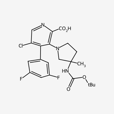 CC1(NC(=O)OC(C)(C)C)CCN(c2c(C(=O)O)ncc(Cl)c2-c2cc(F)cc(F)c2)C1